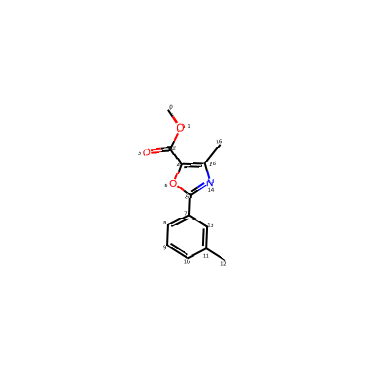 COC(=O)c1oc(-c2cccc(C)c2)nc1C